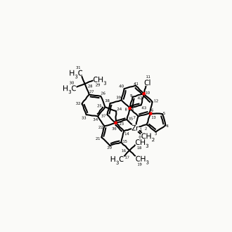 [CH2]=[Zr]([C]1=CC=CC1)([c]1ccc(Cl)cc1)([c]1c(C(C)(C)C)ccc2c1Cc1cc(C(C)(C)C)ccc1-2)[c]1cccc2ccccc12